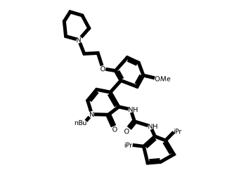 CCCCn1ccc(-c2cc(OC)ccc2OCCN2CCCCC2)c(NC(=O)Nc2c(C(C)C)cccc2C(C)C)c1=O